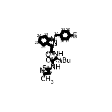 Cc1cc(NC(=O)[C@@H](NC(=O)c2nn(Cc3ccc(F)cc3)c3ccccc23)C(C)(C)C)sn1